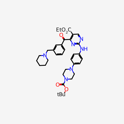 CCOC(=O)c1cnc(Nc2ccc(N3CCN(C(=O)OC(C)(C)C)CC3)cc2)nc1C(=O)c1cccc(CN2CCCCC2)c1